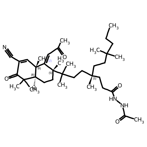 CCCC(C)(C)CC[C@](C)(CCC(=O)NNC(C)=O)CCC(C)(C)[C@]1(C)CC[C@H]2C(C)(C)C(=O)C(C#N)=C[C@]2(C)/C1=C/C(C)=O